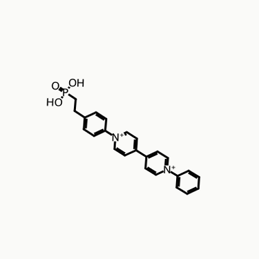 O=P(O)(O)CCc1ccc(-[n+]2ccc(-c3cc[n+](-c4ccccc4)cc3)cc2)cc1